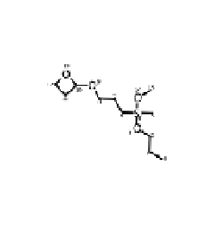 CCCO[Si](C)(CCCOC1CCO1)OC